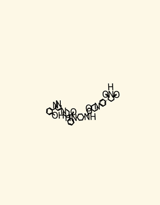 O=C1CC[C@H](c2ccc(N3CCC4(CC3)CC(NC3CCC(NC(=O)C5(c6ccccc6)CCN(c6cnnc(-c7ccccc7O)c6)CC5)CC3)CO4)cc2)C(=O)N1